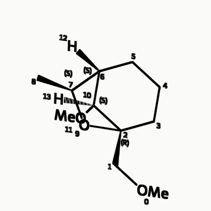 COC[C@@]12CCC[C@@H]([C@H](C)O1)[C@@H]2OC